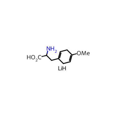 COC1=CCC(CC(N)C(=O)O)=CC1.[LiH]